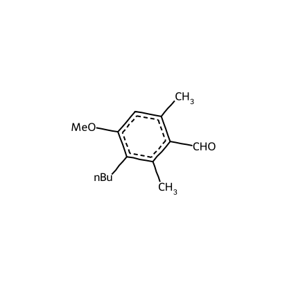 CCCCc1c(OC)cc(C)c(C=O)c1C